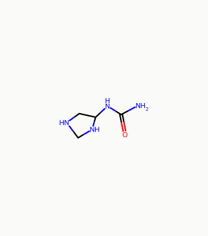 NC(=O)NC1CNCN1